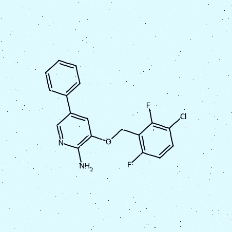 Nc1ncc(-c2ccccc2)cc1OCc1c(F)ccc(Cl)c1F